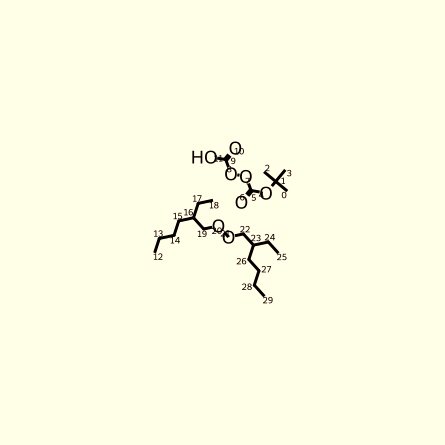 CC(C)(C)OC(=O)OOC(=O)O.CCCCC(CC)COOCC(CC)CCCC